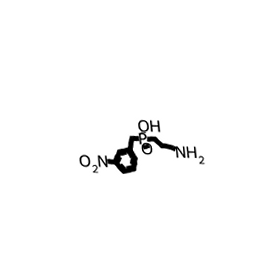 NCCCP(=O)(O)Cc1cccc([N+](=O)[O-])c1